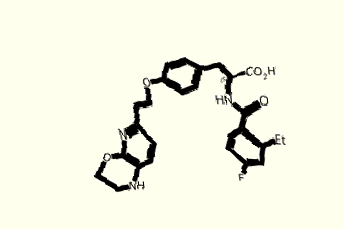 CCc1cc(F)ccc1C(=O)N[C@@H](Cc1ccc(OCCc2ccc3c(n2)OCCN3)cc1)C(=O)O